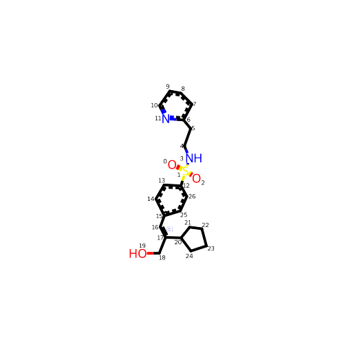 O=S(=O)(NCCc1ccccn1)c1ccc(/C=C(/CO)C2CCCC2)cc1